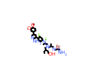 CCC(CCO)CN(/C=C(\C)C/N=C\C(Br)=C/N)/C=C(\C)N(F)c1ccc(-c2cc(-c3ccc(OC)c(OC)c3)cnc2N)c(F)c1